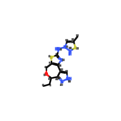 CCC1OCc2sc(NN3C=C(C)SN3)nc2-c2c[nH]nc21